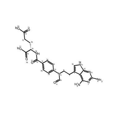 Nc1nc(N)c2c(CCN(C=O)c3ccc(C(=O)N[C@@H](CCC(=O)O)C(=O)O)cc3)c[nH]c2n1